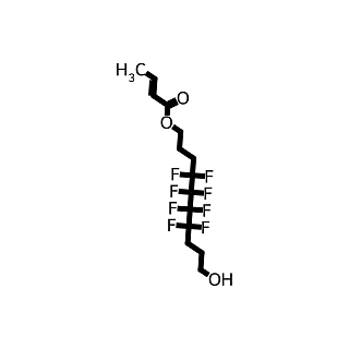 CC=CC(=O)OCCCC(F)(F)C(F)(F)C(F)(F)C(F)(F)CCCO